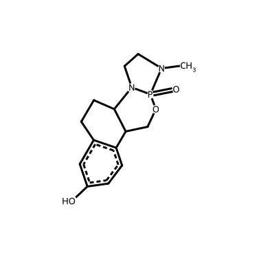 CN1CCN2C3CCc4cc(O)ccc4C3COP12=O